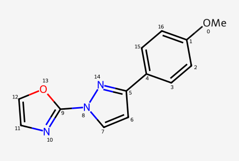 COc1ccc(-c2ccn(-c3ncco3)n2)cc1